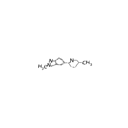 CC1CCC(c2ccc3nn(C)cc3c2)=NC1